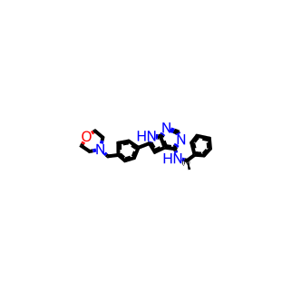 C[C@@H](Nc1ncnc2[nH]c(-c3ccc(CN4CCOCC4)cc3)cc12)c1ccccc1